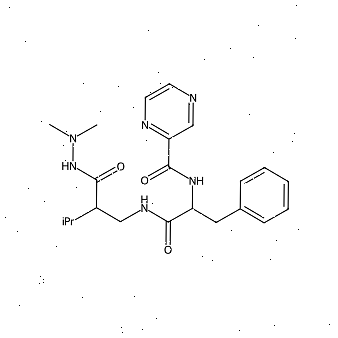 CC(C)C(CNC(=O)C(Cc1ccccc1)NC(=O)c1cnccn1)C(=O)NN(C)C